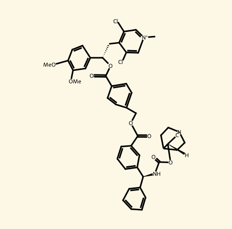 COc1ccc([C@H](Cc2c(Cl)c[n+](C)cc2Cl)OC(=O)c2ccc(COC(=O)c3cccc([C@@H](NC(=O)O[C@H]4CN5CCC4CC5)c4ccccc4)c3)cc2)cc1OC